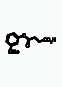 COc1cccc(OC(=O)CCC(=O)O)c1